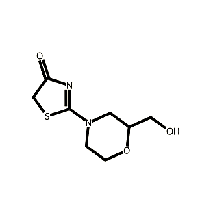 O=C1CSC(N2CCOC(CO)C2)=N1